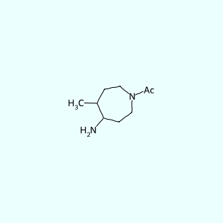 CC(=O)N1CCC(C)C(N)CC1